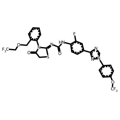 O=C(N=C1SCC(=O)N1c1ccccc1COCC(F)(F)F)Nc1ccc(-c2ncn(-c3ccc(OC(F)(F)F)cc3)n2)cc1F